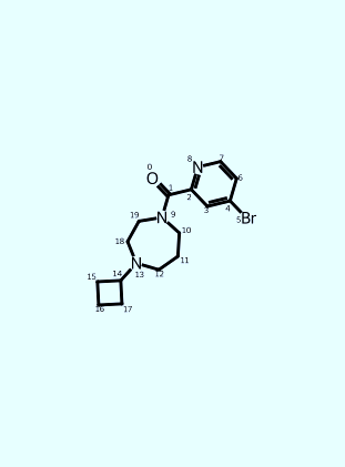 O=C(c1cc(Br)ccn1)N1CCCN(C2CCC2)CC1